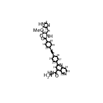 COC(=O)C(Cc1c[nH]cn1)NC(=O)c1ccc(C#Cc2ccc(-c3cc(C(=O)NN)c4cnccc4n3)cc2)cc1